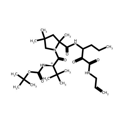 C=CCNC(=O)C(=O)C(CCC)NC(=O)C1(C)CC(C)(C)CN1C(=O)[C@H](NC(=O)OC(C)(C)C)C(C)(C)C